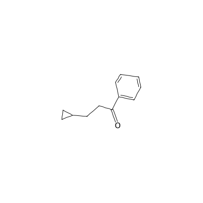 O=C(CCC1CC1)c1ccccc1